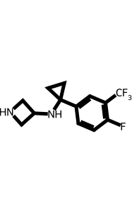 Fc1ccc(C2(NC3CNC3)CC2)cc1C(F)(F)F